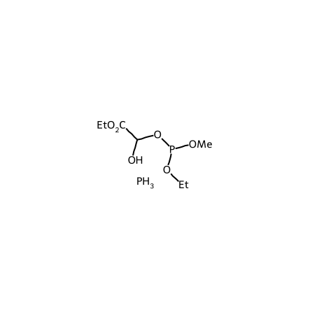 CCOC(=O)C(O)OP(OC)OCC.P